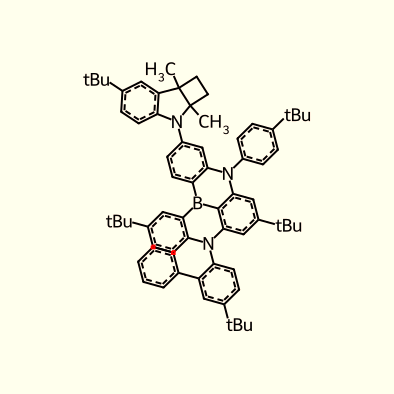 CC(C)(C)c1ccc(N2c3cc(N4c5ccc(C(C)(C)C)cc5C5(C)CCC45C)ccc3B3c4cc(C(C)(C)C)ccc4N(c4ccc(C(C)(C)C)cc4-c4ccccc4)c4cc(C(C)(C)C)cc2c43)cc1